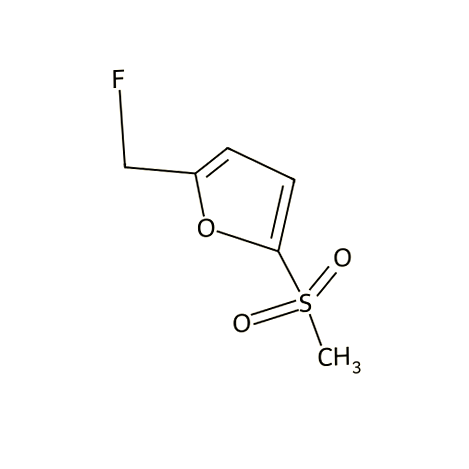 CS(=O)(=O)c1ccc(CF)o1